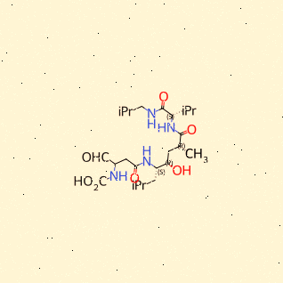 CC(C)CNC(=O)[C@@H](NC(=O)[C@H](C)C[C@@H](O)[C@H](CC(C)C)NC(=O)CC(C=O)NC(=O)O)C(C)C